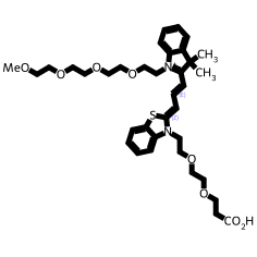 COCCOCCOCCOCC[N+]1=C(/C=C/C=C2\Sc3ccccc3N2CCOCCOCCC(=O)O)C(C)(C)c2ccccc21